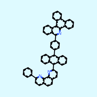 c1ccc(-c2ccc3ccc4ccc(-c5c6ccccc6c(-c6ccc(-c7nc8c9ccccc9c9ccccc9c8c8ccccc78)cc6)c6ccccc56)nc4c3n2)cc1